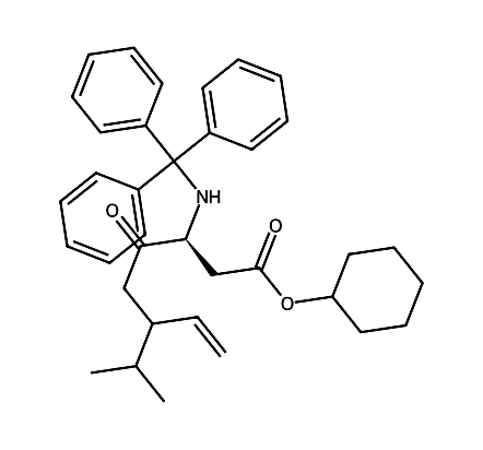 C=CC(CC(=O)[C@H](CC(=O)OC1CCCCC1)NC(c1ccccc1)(c1ccccc1)c1ccccc1)C(C)C